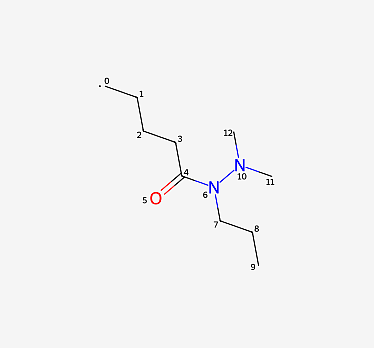 [CH2]CCCC(=O)N(CCC)N(C)C